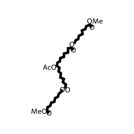 COC(=O)CCCCCCCCOC(=O)CCCCCCCC(CCCCCCCC(=O)OCCCCCCCCC(=O)OC)OC(C)=O